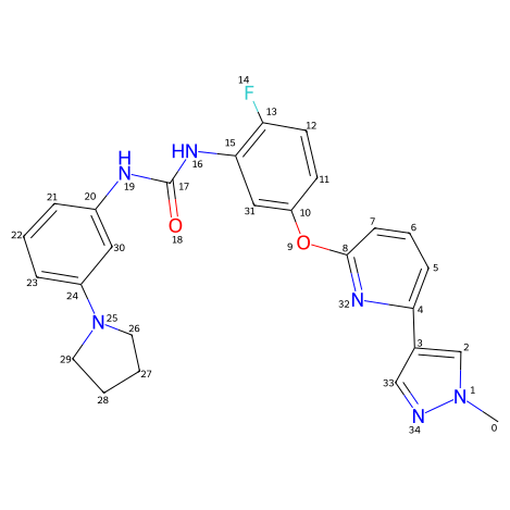 Cn1cc(-c2cccc(Oc3ccc(F)c(NC(=O)Nc4cccc(N5CCCC5)c4)c3)n2)cn1